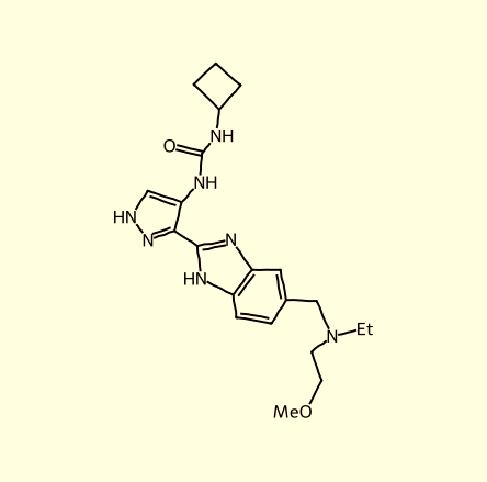 CCN(CCOC)Cc1ccc2[nH]c(-c3n[nH]cc3NC(=O)NC3CCC3)nc2c1